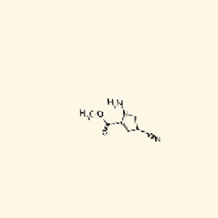 COC(=O)c1cc(C#N)cn1N